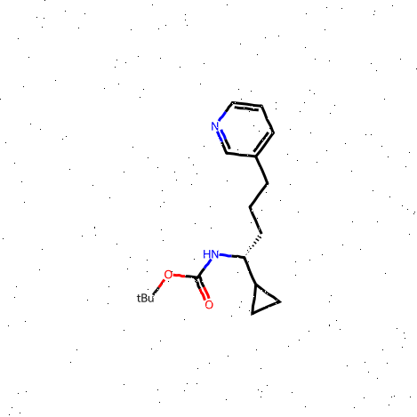 CC(C)(C)OC(=O)N[C@H](CCCc1cccnc1)C1CC1